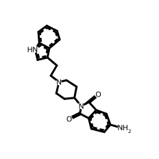 Nc1ccc2c(c1)C(=O)N(C1CCN(CCc3c[nH]c4ccccc34)CC1)C2=O